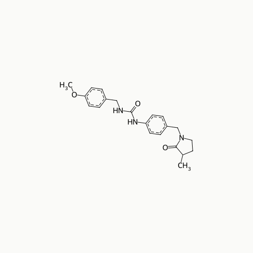 COc1ccc(CNC(=O)Nc2ccc(CN3CCC(C)C3=O)cc2)cc1